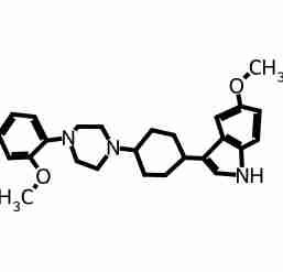 COc1ccc2[nH]cc(C3CCC(N4CCN(c5ccccc5OC)CC4)CC3)c2c1